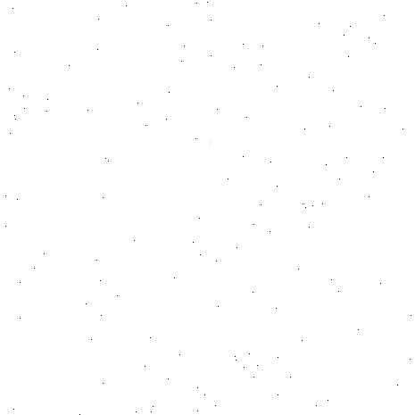 OC[CH]CCCBr